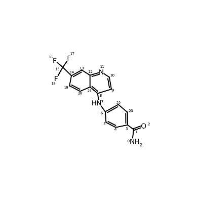 NC(=O)c1ccc(Nc2ccnc3cc(C(F)(F)F)ccc23)cc1